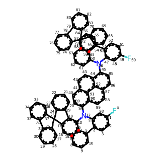 Fc1ccc(-c2ccccc2)c(N(c2cccc3c2-c2ccccc2C32c3ccccc3-c3ccccc32)c2ccc3ccc4c(N(c5cc(F)ccc5-c5ccccc5)c5cccc6c5-c5ccccc5C65c6ccccc6-c6ccccc65)ccc5ccc2c3c54)c1